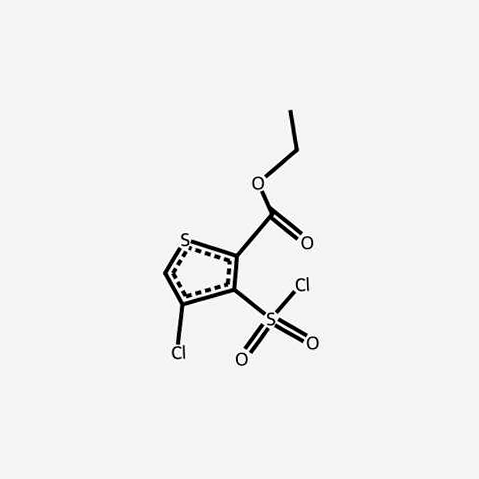 CCOC(=O)c1scc(Cl)c1S(=O)(=O)Cl